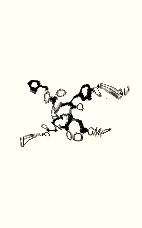 COC(=O)C[C@H]1C(=O)N(CC(=O)OC(C)(C)C)CCN1C(=O)[C@H](Cc1ccc(OC(C)(C)C)cc1)NC(=O)OCc1ccccc1